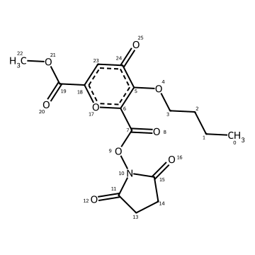 CCCCOc1c(C(=O)ON2C(=O)CCC2=O)oc(C(=O)OC)cc1=O